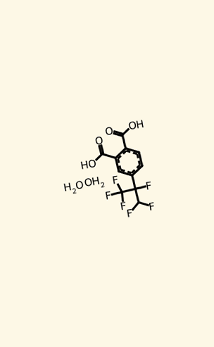 O.O.O=C(O)c1ccc(C(F)(C(F)F)C(F)(F)F)cc1C(=O)O